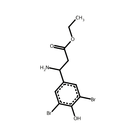 CCOC(=O)CC(N)c1cc(Br)c(O)c(Br)c1